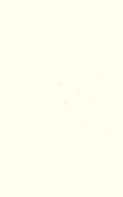 CC1CC(n2c(Nc3ccc(OC(F)(F)F)cc3)nc3ccc(OC(F)(F)F)cc32)CC(C)(C)C1